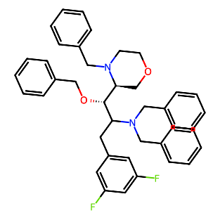 Fc1cc(F)cc(CC([C@H](OCc2ccccc2)[C@@H]2COCCN2Cc2ccccc2)N(Cc2ccccc2)Cc2ccccc2)c1